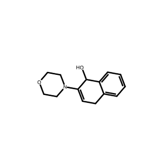 OC1C(N2CCOCC2)=CCc2ccccc21